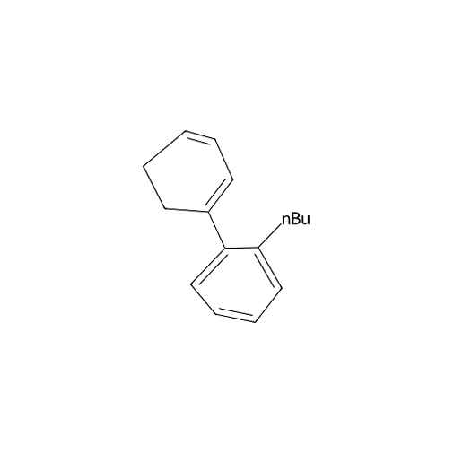 CCCCc1ccccc1C1=CC=CCC1